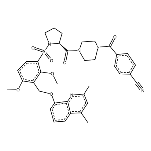 COc1ccc(S(=O)(=O)N2CCC[C@H]2C(=O)N2CCN(C(=O)c3ccc(C#N)cc3)CC2)c(OC)c1COc1cccc2c(C)cc(C)nc12